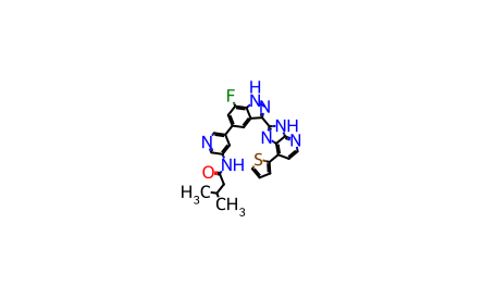 CC(C)CC(=O)Nc1cncc(-c2cc(F)c3[nH]nc(-c4nc5c(-c6cccs6)ccnc5[nH]4)c3c2)c1